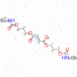 CC(C)(C)NC(=O)OCCCOC(=O)/C=C/C(=O)OCCCOC(=O)NC(C)(C)C